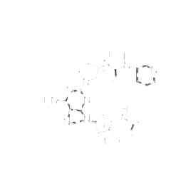 CCC(=O)N[C@H]1C[C@@H](n2cnc3c(N)nc(N4CC[C@@H](NC(=O)Nc5cccnc5)C4)nc32)[C@H](O)[C@@H]1O